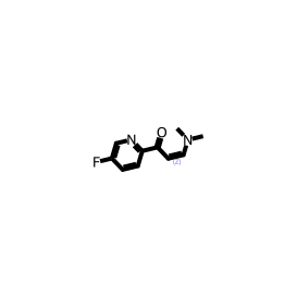 CN(C)/C=C\C(=O)c1ccc(F)cn1